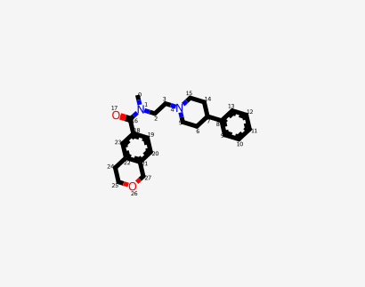 CN(CCN1CCC(c2ccccc2)CC1)C(=O)c1ccc2c(c1)CCOC2